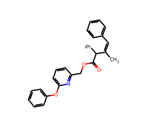 CC(=Cc1ccccc1)C(C(=O)OCc1cccc(Oc2ccccc2)n1)C(C)C